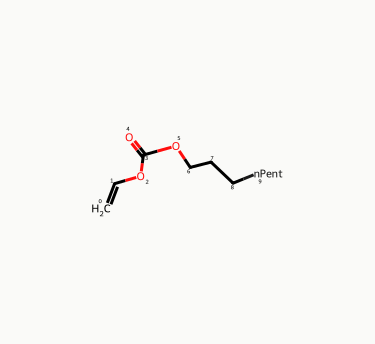 C=COC(=O)OCCCCCCCC